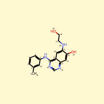 Cc1cccc(Nc2ncnc3cc(O)c(NCCO)cc23)c1